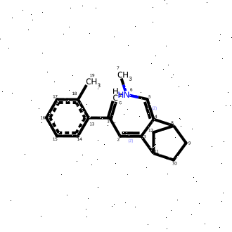 C=C(/C=C1\C(=C/NC)C2CCC1C2)c1ccccc1C